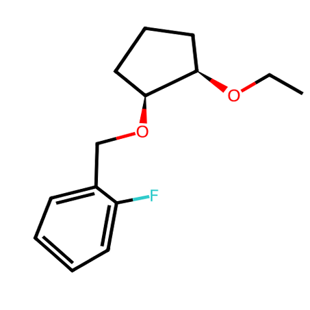 CCO[C@@H]1CCC[C@@H]1OCc1ccccc1F